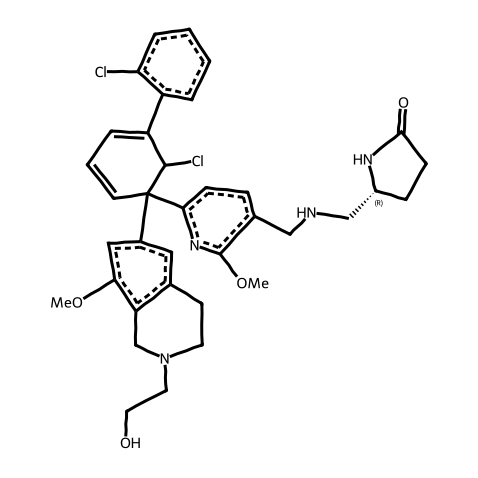 COc1cc(C2(c3ccc(CNC[C@H]4CCC(=O)N4)c(OC)n3)C=CC=C(c3ccccc3Cl)C2Cl)cc2c1CN(CCO)CC2